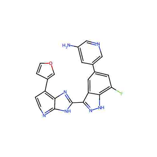 Nc1cncc(-c2cc(F)c3[nH]nc(-c4nc5c(-c6ccoc6)ccnc5[nH]4)c3c2)c1